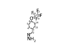 NN=Cc1ccc(OC(F)(F)C(F)F)cc1